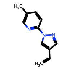 C=Cc1cnn(-c2ccc(C)cn2)c1